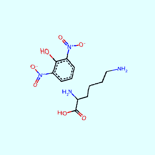 NCCCCC(N)C(=O)O.O=[N+]([O-])c1cccc([N+](=O)[O-])c1O